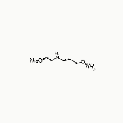 COCCNCCCON